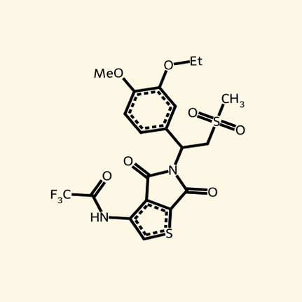 CCOc1cc(C(CS(C)(=O)=O)N2C(=O)c3scc(NC(=O)C(F)(F)F)c3C2=O)ccc1OC